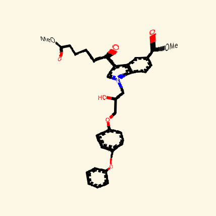 COC(=O)CCCCC(=O)c1cn(CC(O)COc2ccc(Oc3ccccc3)cc2)c2ccc(C(=O)OC)cc12